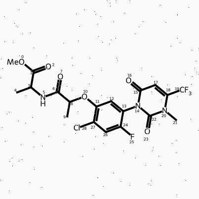 COC(=O)C(C)NC(=O)C(C)Oc1cc(-n2c(=O)cc(C(F)(F)F)n(C)c2=O)c(F)cc1Cl